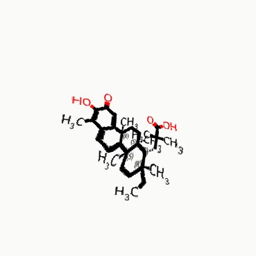 CC[C@]1(C)CC[C@]2(C)C3=CC=C4C(=CC(=O)C(O)=C4C)[C@]3(C)CC[C@@]2(C)[C@@H]1CC(C)(C)C(=O)O